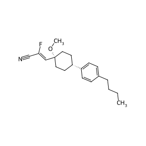 CCCCc1ccc([C@H]2CC[C@@](C=C(F)C#N)(OC)CC2)cc1